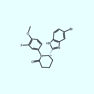 COc1ccc(N2C(=O)CCC[C@H]2c2nc3cc(Br)ccc3[nH]2)cc1F